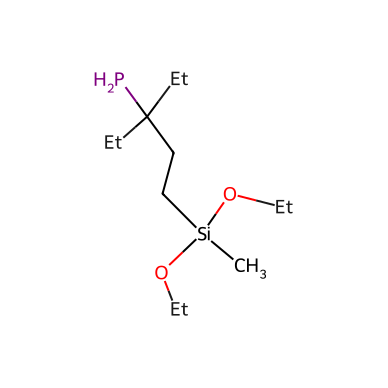 CCO[Si](C)(CCC(P)(CC)CC)OCC